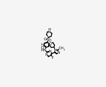 Cc1ncc(-c2nc(Nc3ccc(S(=O)(=O)N4CCNCC4)cc3)ncc2F)n1C1CCOCC1.Cl